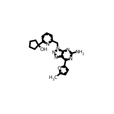 Cc1ccc(-c2nc(N)nc3c2nnn3Cc2cccc(C3(O)CCCC3)n2)o1